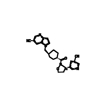 N#Cc1cncc([C@@H]2CCON2C(=O)[C@H]2CC[C@H](Cn3ccc4ncc(C#N)cc43)CC2)c1